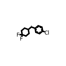 FC1(F)CCC([CH]c2ccc(Cl)cc2)CC1